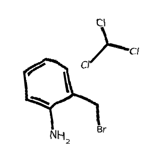 ClC(Cl)Cl.Nc1ccccc1CBr